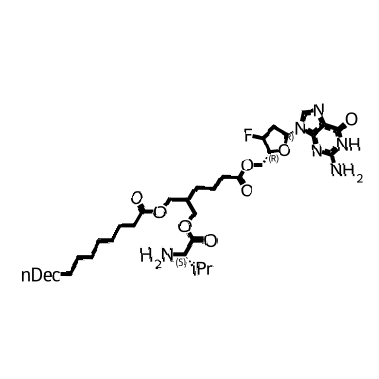 CCCCCCCCCCCCCCCCCC(=O)OCC(CCCC(=O)OC[C@H]1O[C@@H](n2cnc3c(=O)[nH]c(N)nc32)CC1F)COC(=O)[C@@H](N)C(C)C